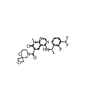 C[C@@H](Nc1ncnc2c1cc(C(=O)N1CCOC3(COC3)C1)c(=O)n2C)c1cccc(C(F)F)c1F